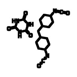 O=C=NC1CCC(CC2CCC(N=C=O)CC2)CC1.O=c1[nH]c(=O)[nH]c(=O)[nH]1